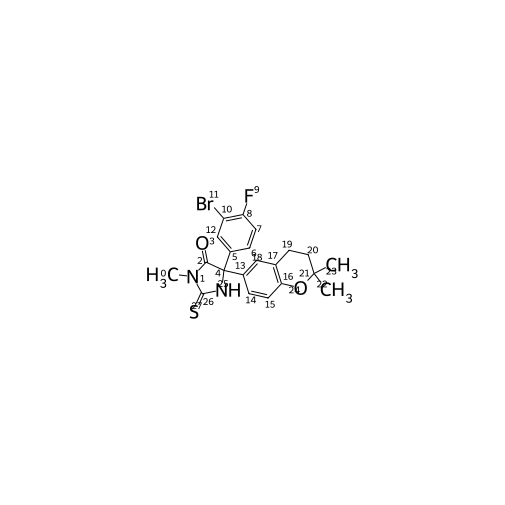 CN1C(=O)C(c2ccc(F)c(Br)c2)(c2ccc3c(c2)CCC(C)(C)O3)NC1=S